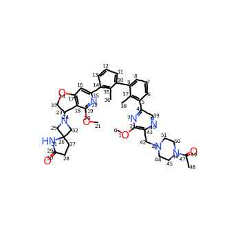 COc1nc(-c2cccc(-c3cccc(-c4cc5c(c(OC)n4)C(N4CC6(CCC(=O)N6)C4)CO5)c3C)c2C)cnc1CN1CCN(C(C)=O)CC1